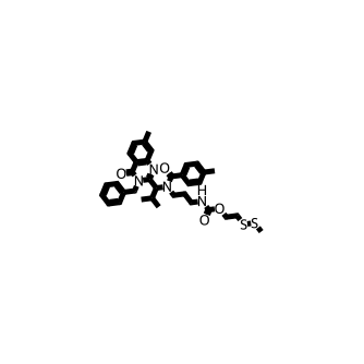 CSSCCOC(=O)NCCCN(C(=O)c1ccc(C)cc1)C(c1nc2cc(C)ccc2c(=O)n1Cc1ccccc1)C(C)C